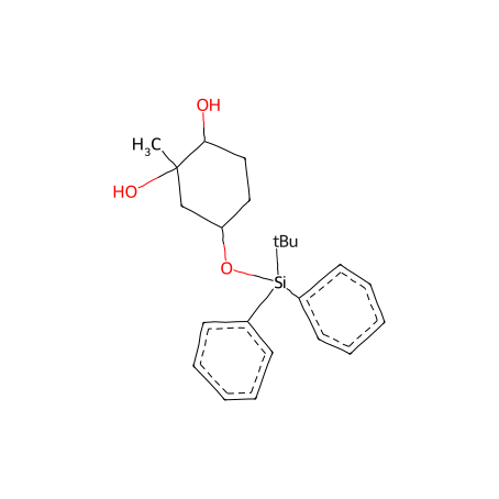 CC1(O)CC(O[Si](c2ccccc2)(c2ccccc2)C(C)(C)C)CCC1O